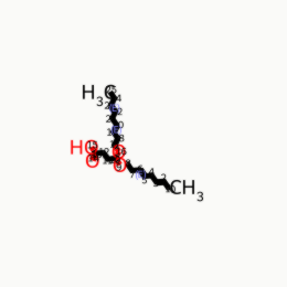 CCC=CC/C=C/CCOC(CCC(=O)O)OCC/C=C/C/C=C/CC